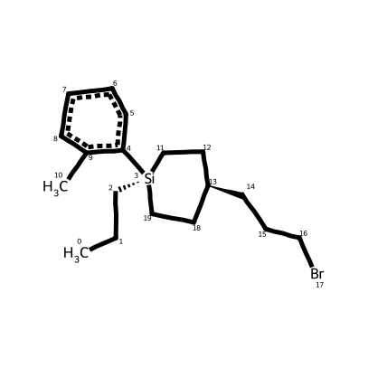 CCC[Si@]1(c2ccccc2C)CC[C@@H](CCCBr)CC1